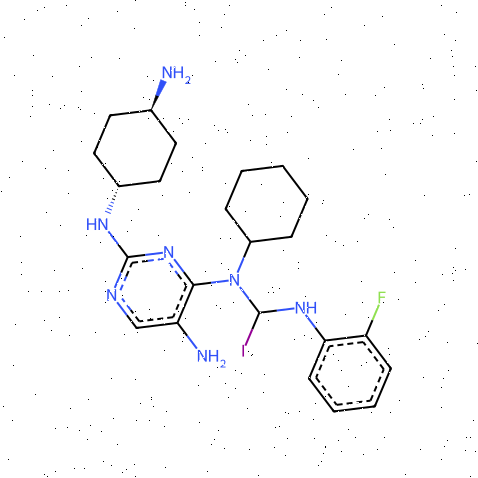 Nc1cnc(N[C@H]2CC[C@H](N)CC2)nc1N(C1CCCCC1)C(I)Nc1ccccc1F